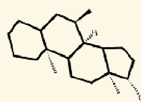 C[C@@H]1CC2CCCC[C@]2(C)C2CC[C@@]3(C)C(CC[C@@H]3O)[C@@H]21